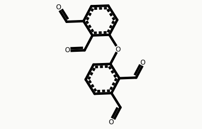 O=Cc1cccc(Oc2cccc(C=O)c2C=O)c1C=O